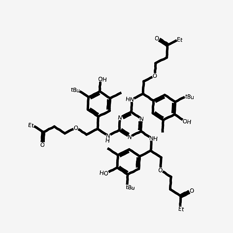 CCC(=O)CCOCC(Nc1nc(NC(COCCC(=O)CC)c2cc(C)c(O)c(C(C)(C)C)c2)nc(NC(COCCC(=O)CC)c2cc(C)c(O)c(C(C)(C)C)c2)n1)c1cc(C)c(O)c(C(C)(C)C)c1